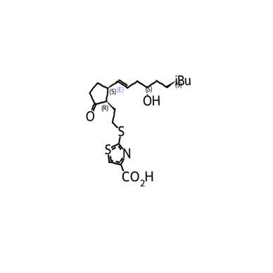 CC[C@H](C)CC[C@H](O)C/C=C/[C@@H]1CCC(=O)[C@@H]1CCSc1nc(C(=O)O)cs1